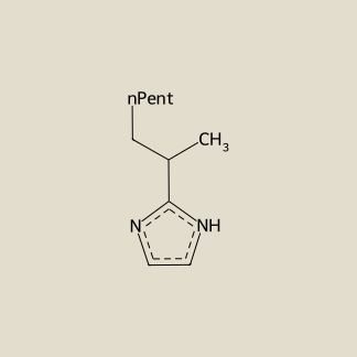 CCCCCCC(C)c1ncc[nH]1